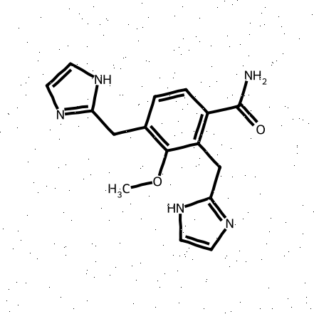 COc1c(Cc2ncc[nH]2)ccc(C(N)=O)c1Cc1ncc[nH]1